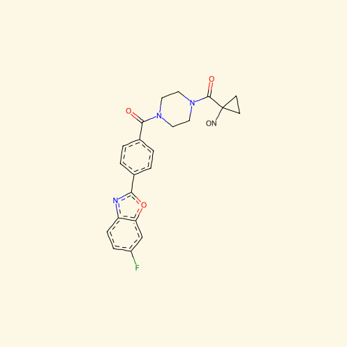 O=NC1(C(=O)N2CCN(C(=O)c3ccc(-c4nc5ccc(F)cc5o4)cc3)CC2)CC1